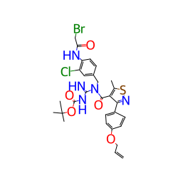 C=CCOc1ccc(-c2nsc(C)c2C(=O)N(Cc2ccc(NC(=O)CBr)c(Cl)c2)C(=N)NC(=O)OC(C)(C)C)cc1